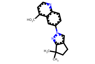 CC1(C)CCc2cn(-c3ccc4nccc(C(=O)O)c4c3)nc21